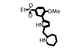 CCS(=O)(=O)c1ccc(OC)c(-c2ccc(CC3CCCCCN3)[nH]2)c1